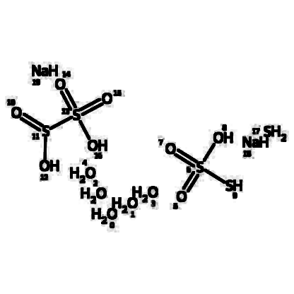 O.O.O.O.O.O=S(=O)(O)S.O=S(O)S(=O)(=O)O.S.[NaH].[NaH]